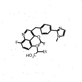 CCC(Oc1ccc(F)c2ncc(Cc3ccc(-c4nccn4C)cc3)c(OC(F)F)c12)C(=O)O